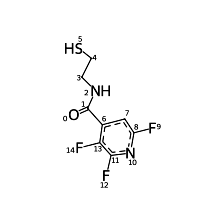 O=C(NCCS)c1cc(F)nc(F)c1F